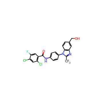 O=C(Nc1ccc(-n2c(C(F)(F)F)nc3cc(CO)ccc32)cc1)c1cc(F)c(Cl)cc1Cl